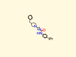 CC(C)c1ccc(NC(=O)N2CC(N3CCC(Cc4ccccc4)CC3)C2)cc1